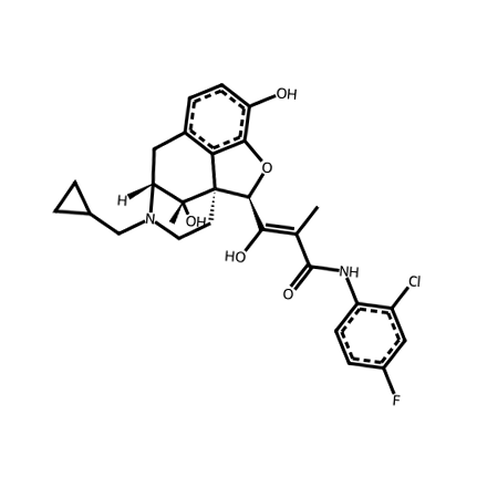 C/C(C(=O)Nc1ccc(F)cc1Cl)=C(/O)[C@@H]1Oc2c(O)ccc3c2[C@@]12CCN(CC1CC1)[C@H](C3)[C@@]2(C)O